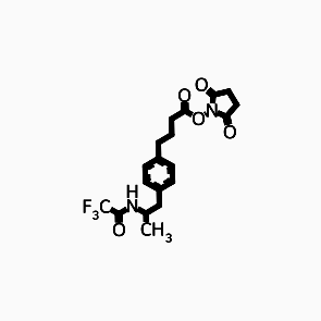 CC(Cc1ccc(CCCC(=O)ON2C(=O)CCC2=O)cc1)NC(=O)C(F)(F)F